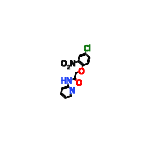 O=C(COc1ccc(Cl)cc1[N+](=O)[O-])Nc1ccccn1